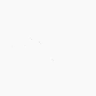 CC(C)(C)NNCC(C#N)CCCO